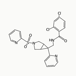 O=C(NCC1(c2ccccn2)C2CN(S(=O)(=O)c3ccccn3)CC21)c1ccc(Cl)cc1Cl